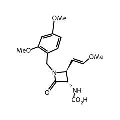 COC=C[C@H]1[C@H](NC(=O)O)C(=O)N1Cc1ccc(OC)cc1OC